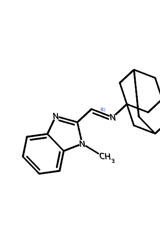 Cn1c(/C=N/C23CC4CC(CC(C4)C2)C3)nc2ccccc21